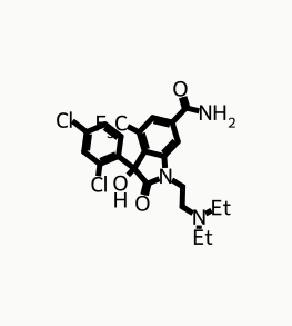 CCN(CC)CCN1C(=O)C(O)(c2ccc(Cl)cc2Cl)c2c1cc(C(N)=O)cc2C(F)(F)F